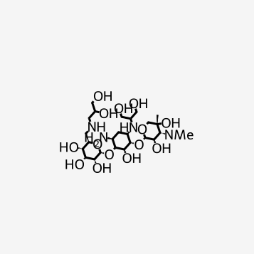 CN[C@@H]1[C@@H](O)[C@@H](O[C@H]2[C@H](NC(CO)CO)C[C@H](N)C(O[C@H]3O[C@H](CNCC(O)CO)[C@@H](O)[C@H](O)[C@H]3O)[C@@H]2O)OC[C@]1(C)O